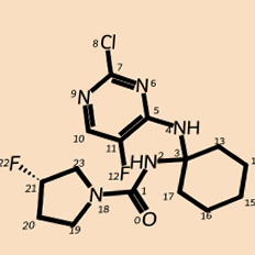 O=C(NC1(Nc2nc(Cl)ncc2F)CCCCC1)N1CC[C@H](F)C1